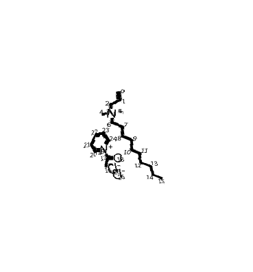 C=CC[N+](C)(C)CCCCCCCCCC.CC(=O)[n+]1ccccc1.[Cl-].[Cl-]